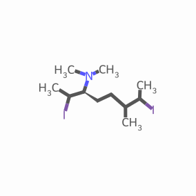 CC(I)C(C)CC[C@@H](C(C)I)N(C)C